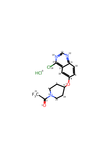 Cl.O=C(N1CCC(Oc2ccc3ncnc(Cl)c3c2)CC1)C(F)(F)F